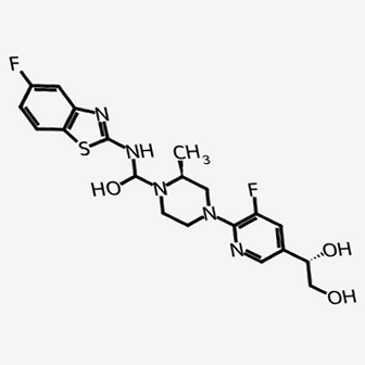 C[C@H]1CN(c2ncc([C@H](O)CO)cc2F)CCN1C(O)Nc1nc2cc(F)ccc2s1